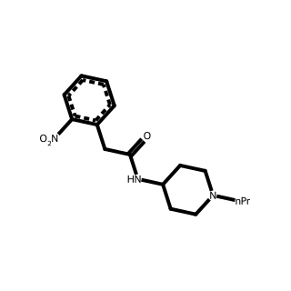 [CH2]CCN1CCC(NC(=O)Cc2ccccc2[N+](=O)[O-])CC1